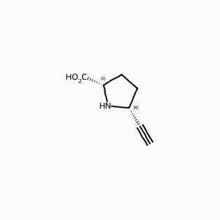 C#C[C@H]1CC[C@@H](C(=O)O)N1